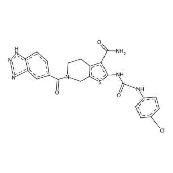 NC(=O)c1c(NC(=O)Nc2ccc(Cl)cc2)sc2c1CCN(C(=O)c1ccc3[nH]nnc3c1)C2